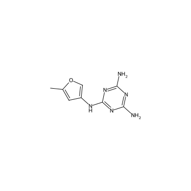 Cc1cc(Nc2nc(N)nc(N)n2)co1